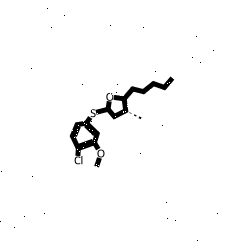 CCCCCC1OC(Sc2ccc(Cl)c(OC)c2)C[C@H]1C